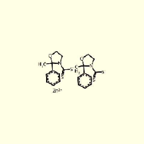 CC1(c2ccccc2)OCCN1C(=S)[S-].CC1(c2ccccc2)OCCN1C(=S)[S-].[Zn+2]